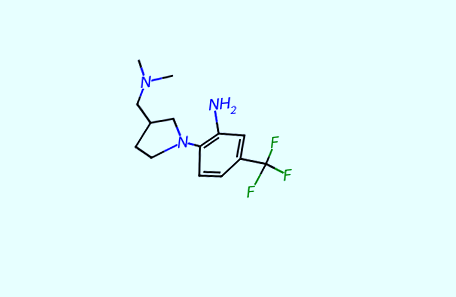 CN(C)CC1CCN(c2ccc(C(F)(F)F)cc2N)C1